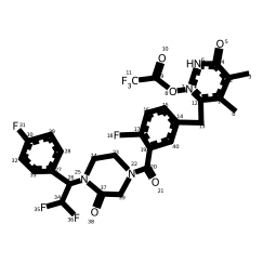 Cc1c(C)c(=O)[nH][n+](OC(=O)C(F)(F)F)c1Cc1ccc(F)c(C(=O)N2CCN(C(c3ccc(F)cc3)C(F)F)C(=O)C2)c1